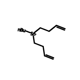 C=CC[CH2][Sn]([CH2]CC=C)[CH2]CCC